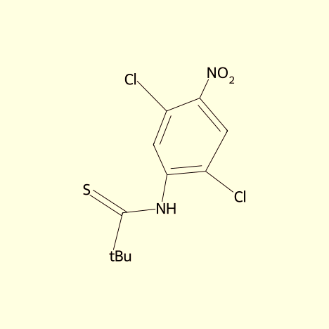 CC(C)(C)C(=S)Nc1cc(Cl)c([N+](=O)[O-])cc1Cl